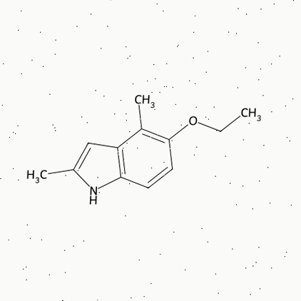 CCOc1ccc2[nH]c(C)cc2c1C